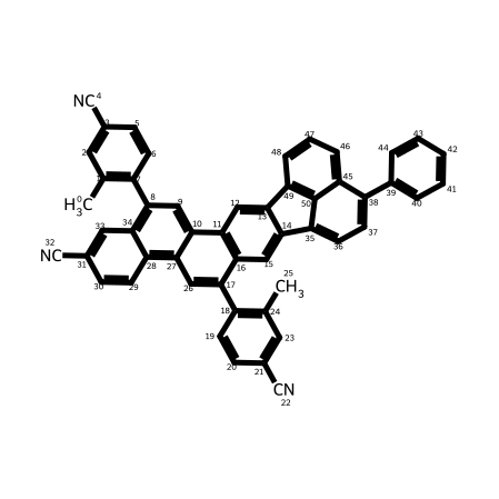 Cc1cc(C#N)ccc1-c1cc2c3cc4c(cc3c(-c3ccc(C#N)cc3C)cc2c2ccc(C#N)cc12)-c1ccc(-c2ccccc2)c2cccc-4c12